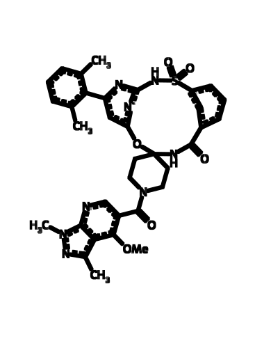 COc1c(C(=O)N2CCC3(CC2)NC(=O)c2cccc(c2)S(=O)(=O)Nc2nc(cc(-c4c(C)cccc4C)n2)O3)cnc2c1c(C)nn2C